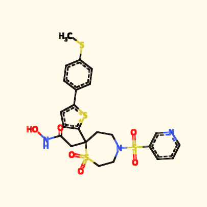 CSc1ccc(-c2ccc(C3(CC(=O)NO)CCN(S(=O)(=O)c4cccnc4)CCS3(=O)=O)s2)cc1